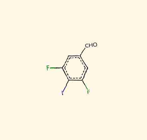 O=Cc1cc(F)c(I)c(F)c1